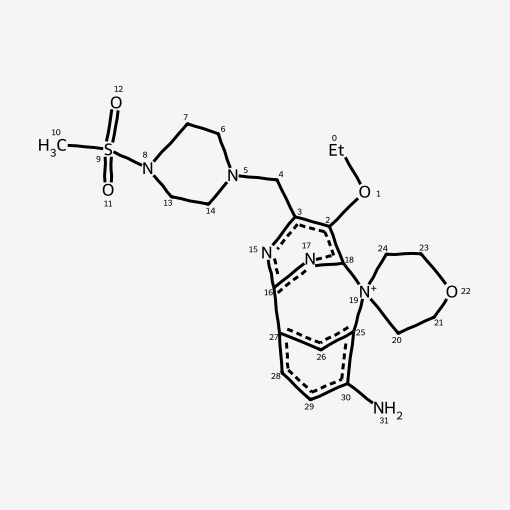 CCOc1c(CN2CCN(S(C)(=O)=O)CC2)nc2nc1[N+]1(CCOCC1)c1cc-2ccc1N